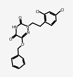 O=c1[nH]c(=O)n(CCc2ccc(Cl)cc2Cl)nc1OCc1ccccc1